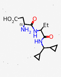 CCC(NC(=O)[C@@H](N)CC(=O)O)C(=O)NC(C1CC1)C1CC1